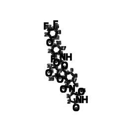 O=C1CCC(N2Cc3ccc(COC(=O)Nc4ccc(Oc5ccc(F)c(F)c5)cc4F)c(O[C@@H]4CCCOC4)c3C2=O)C(=O)N1